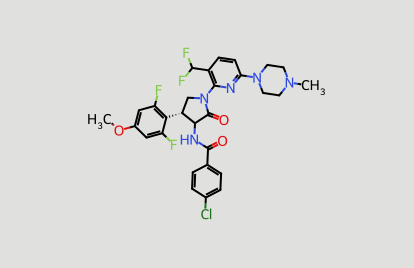 COc1cc(F)c([C@@H]2CN(c3nc(N4CCN(C)CC4)ccc3C(F)F)C(=O)C2NC(=O)c2ccc(Cl)cc2)c(F)c1